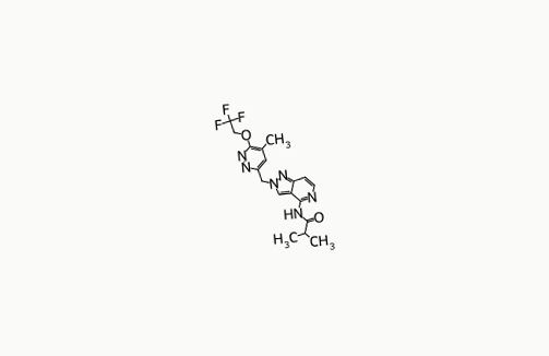 Cc1cc(Cn2cc3c(NC(=O)C(C)C)nccc3n2)nnc1OCC(F)(F)F